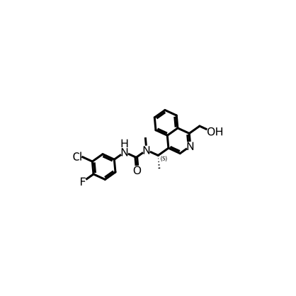 C[C@@H](c1cnc(CO)c2ccccc12)N(C)C(=O)Nc1ccc(F)c(Cl)c1